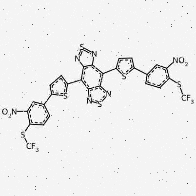 O=[N+]([O-])c1cc(-c2ccc(-c3c4c(c(-c5ccc(-c6ccc(SC(F)(F)F)c([N+](=O)[O-])c6)s5)c5nsnc35)N=S=N4)s2)ccc1SC(F)(F)F